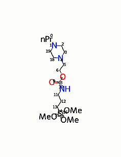 CCCN1CCN(CCOC(=O)NCCC[Si](OC)(OC)OC)CC1